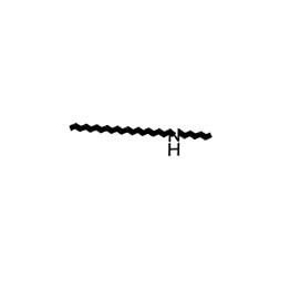 CCCCCCCCCCCCCCCCCCCCNCCCCCCC